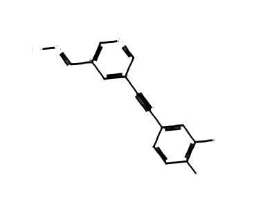 Cl.O/N=C/c1cncc(C#Cc2ccc(F)c(F)c2)c1